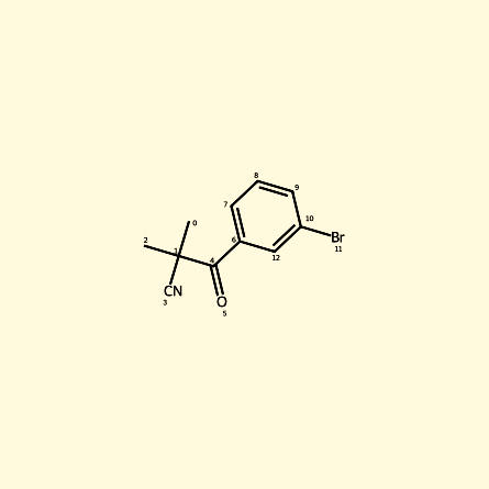 CC(C)(C#N)C(=O)c1cccc(Br)c1